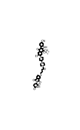 CCc1cc2c(cc1N1CCC(N3CCN(C(=O)CCCSc4ccc5c(c4)C(=O)N(C4CCC(=O)NC4=O)C5=O)CC3)CC1)C(C)(C)c1[nH]c3cc(C#N)ccc3c1C2=O